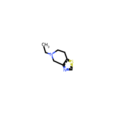 CCN1CCc2scnc2C1